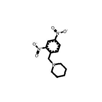 O=[N+]([O-])c1ccc(CN2CCCCC2)c([N+](=O)[O-])c1